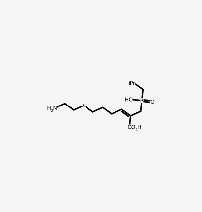 CC(C)CP(=O)(O)CC(=CCCCSCCN)C(=O)O